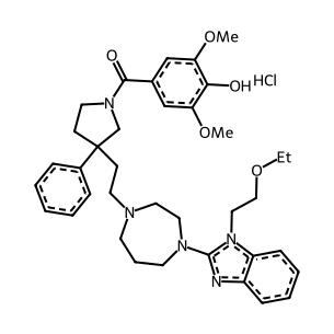 CCOCCn1c(N2CCCN(CCC3(c4ccccc4)CCN(C(=O)c4cc(OC)c(O)c(OC)c4)C3)CC2)nc2ccccc21.Cl